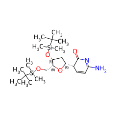 CC(C)(C)[Si](C)(C)OC[C@H]1O[C@@H](C2C=CC(N)=NC2=O)C[C@H]1O[Si](C)(C)C(C)(C)C